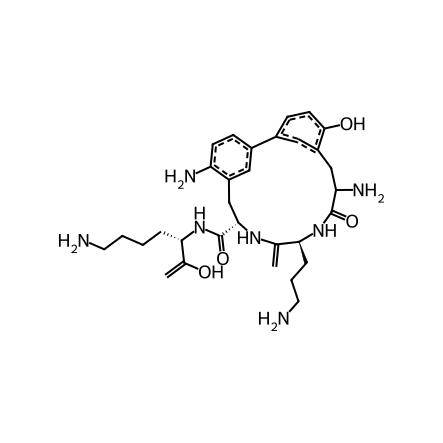 C=C(O)[C@H](CCCCN)NC(=O)[C@@H]1Cc2cc(ccc2N)-c2ccc(O)c(c2)CC(N)C(=O)N[C@@H](CCCN)C(=C)N1